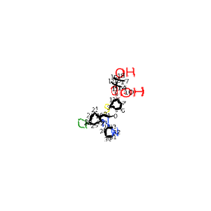 Cc1c(Sc2cccc(B(O)OC(C)(C)C(C)(C)O)c2)c2ccc(Cl)cc2n1-c1cccnc1